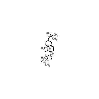 C[C@H](CI)[C@H]1CC[C@H]2[C@@H]3CC=C4CC(O[Si](C)(C)C(C)(C)C)CC[C@]4(C)C3CC[C@]12C